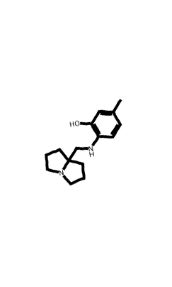 Cc1ccc(NCC23CCCN2CCC3)c(O)c1